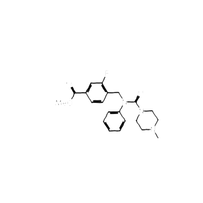 COC(=O)c1ccc(CN(C(=O)N2CCN(C)CC2)c2ccccc2)c(F)c1